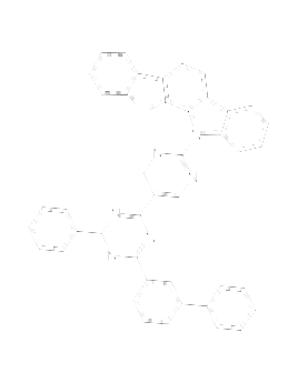 C1=C(C2=NC(c3ccccc3)NC(c3cccc(-c4ccccc4)c3)=N2)CNC(n2c3ccccc3c3ccc4c5ccccc5oc4c32)=N1